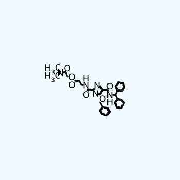 CN(C)C(=O)COC(=O)CCNC(=O)c1ncc(C(=O)NC(c2ccccc2)c2ccccc2)c(OCc2ccccc2)n1